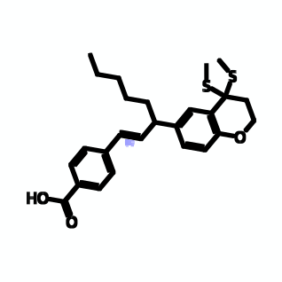 CCCCCC(/C=C/c1ccc(C(=O)O)cc1)c1ccc2c(c1)C(SC)(SC)CCO2